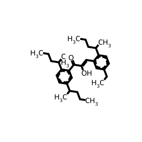 CCCC(C)c1ccc(C(C)CCC)c(C(=O)C(O)=Cc2cc(CC)ccc2C(C)CCC)c1